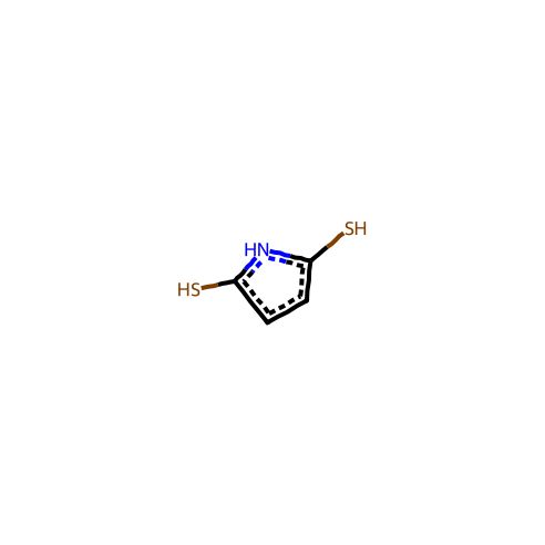 Sc1ccc(S)[nH]1